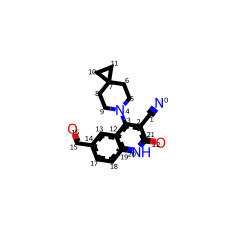 N#Cc1c(N2CCC3(CC2)CC3)c2cc(C=O)ccc2[nH]c1=O